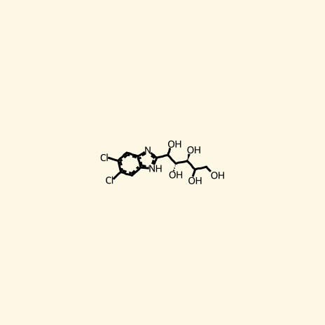 OCC(O)[C@H](O)[C@H](O)C(O)c1nc2cc(Cl)c(Cl)cc2[nH]1